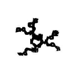 CCOCNc1nc(N(COCC)COCC)nc(N(COCC)COCC)n1